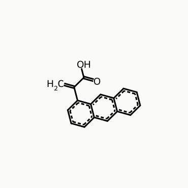 C=C(C(=O)O)c1cccc2cc3ccccc3cc12